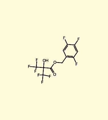 O=C(OCc1cc(F)c(F)cc1F)C(O)(C(F)(F)F)C(F)(F)F